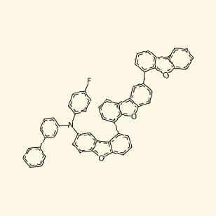 Fc1ccc(N(c2cccc(-c3ccccc3)c2)c2ccc3oc4cccc(-c5cccc6c5oc5ccc(-c7cccc8c7oc7ccccc78)cc56)c4c3c2)cc1